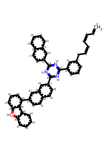 C=C/C=C\C=C/Cc1cccc(-c2nc(-c3ccc4ccccc4c3)nc(-c3ccc4ccc(-c5cccc6oc7ccccc7c56)cc4c3)n2)c1